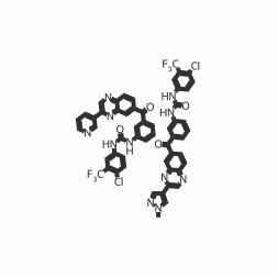 Cn1cc(-c2cnc3ccc(C(=O)c4cccc(NC(=O)Nc5ccc(Cl)c(C(F)(F)F)c5)c4)cc3n2)cn1.O=C(Nc1cccc(C(=O)c2ccc3ncc(-c4cccnc4)nc3c2)c1)Nc1ccc(Cl)c(C(F)(F)F)c1